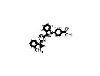 Cc1ccccc1C1(c2noc(-c3nn(C4CCC(C(=O)O)CC4)c4ccccc34)n2)CC1